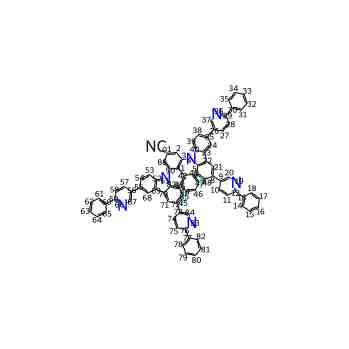 N#Cc1cc(-n2c3ccc(-c4ccc(-c5ccccc5)nc4)cc3c3cc(-c4ccc(-c5ccccc5)nc4)ccc32)c(-c2cc(F)cc(F)c2)c(-n2c3ccc(-c4ccc(-c5ccccc5)nc4)cc3c3cc(-c4ccc(-c5ccccc5)nc4)ccc32)c1